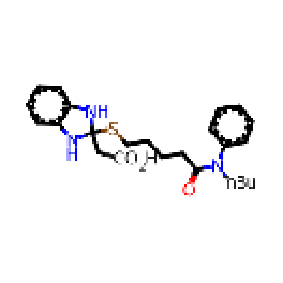 CCCCN(C(=O)CCCCSC1(CC(=O)O)Nc2ccccc2N1)c1ccccc1